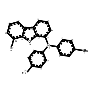 CC(C)(C)c1ccc(N(c2ccc(C(C)(C)C)cc2)c2cccc3c2oc2c(Br)cccc23)cc1